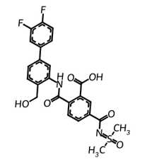 CS(C)(=O)=NC(=O)c1ccc(C(=O)Nc2cc(-c3ccc(F)c(F)c3)ccc2CO)c(C(=O)O)c1